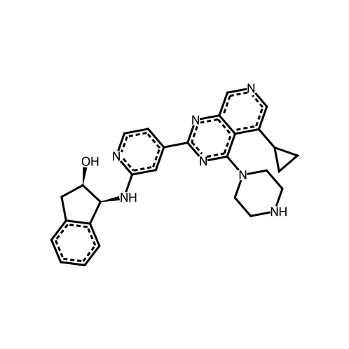 O[C@@H]1Cc2ccccc2[C@@H]1Nc1cc(-c2nc(N3CCNCC3)c3c(C4CC4)cncc3n2)ccn1